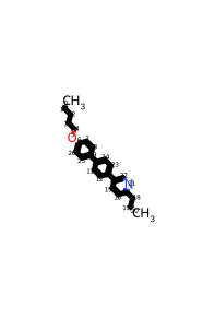 CCCCCOc1ccc(-c2ccc(-c3ccc(CCC)nc3)cc2)cc1